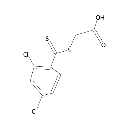 O=C(O)CSC(=S)c1ccc(Cl)cc1Cl